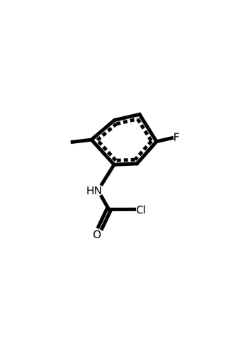 Cc1ccc(F)cc1NC(=O)Cl